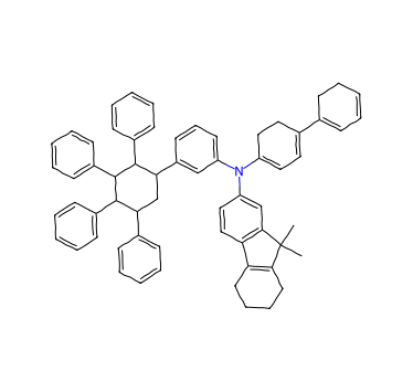 CC1(C)C2=C(CCCC2)c2ccc(N(C3=CC=C(C4=CC=CCC4)CC3)c3cccc(C4CC(c5ccccc5)C(c5ccccc5)C(c5ccccc5)C4c4ccccc4)c3)cc21